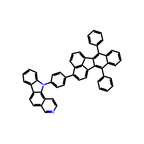 c1ccc(-c2c3c(c(-c4ccccc4)c4ccccc24)-c2ccc(-c4ccc(-n5c6ccccc6c6ccc7cnccc7c65)cc4)c4cccc-3c24)cc1